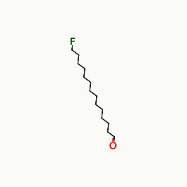 O=CCCCCCCCCCCCCCF